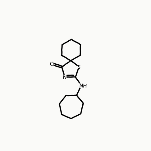 O=C1N=C(NC2CCCCCC2)SC12CCCCC2